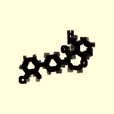 Cc1c(Cl)cccc1-c1ccc(N2CCOc3ncnc(N)c3C2=O)cc1